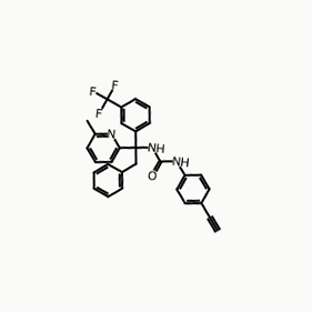 C#Cc1ccc(NC(=O)NC(Cc2ccccc2)(c2cccc(C(F)(F)F)c2)c2cccc(C)n2)cc1